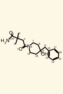 CC(C)(CC(=O)N1CCC(O)(Cc2ccccc2)CC1)C(N)=O